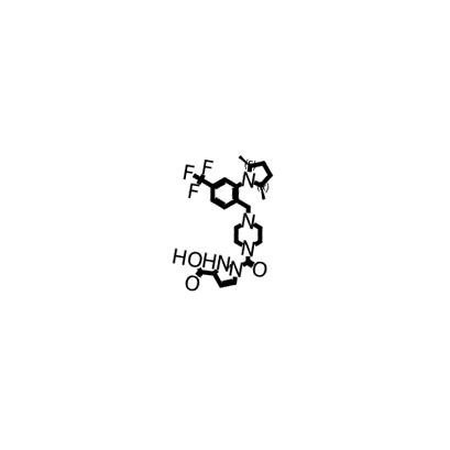 C[C@@H]1CC[C@H](C)N1c1cc(C(F)(F)F)ccc1CN1CCN(C(=O)N2C=CC(C(=O)O)N2)CC1